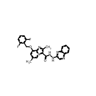 Cc1cc(OCc2c(F)cccc2F)c2nc(C)c(C(=O)NNc3cnc4ccccc4n3)n2c1